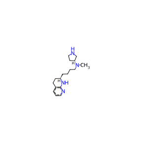 CN(CCCC[C@@H]1CCc2cccnc2N1)[C@@H]1CCNC1